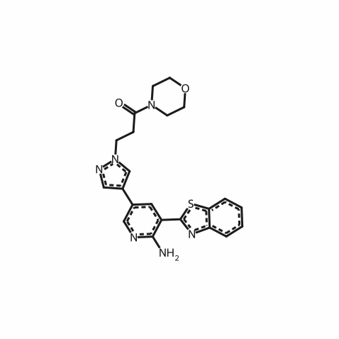 Nc1ncc(-c2cnn(CCC(=O)N3CCOCC3)c2)cc1-c1nc2ccccc2s1